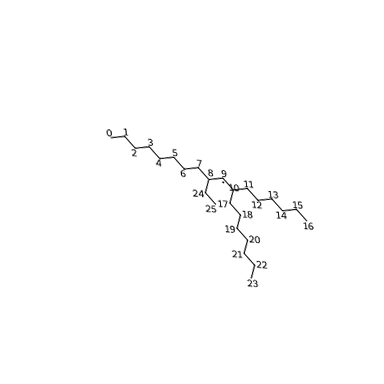 CCCCCCCCC([CH]C(CCCCCC)CCCCCCC)CC